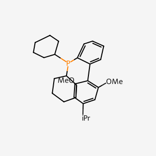 COc1cc(C(C)C)cc(OC)c1-c1ccccc1P(C1CCCCC1)C1CCCCC1